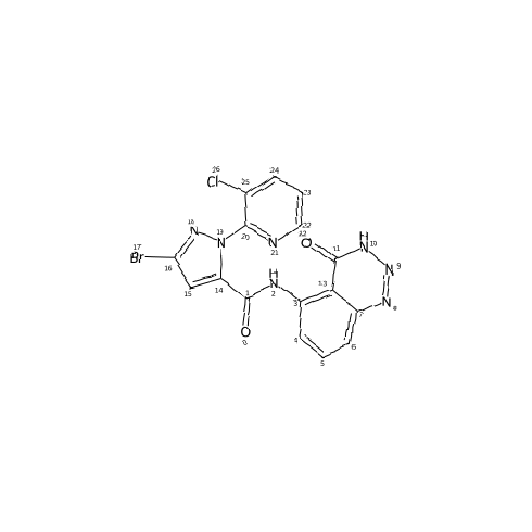 O=C(Nc1cccc2nn[nH]c(=O)c12)c1cc(Br)nn1-c1ncccc1Cl